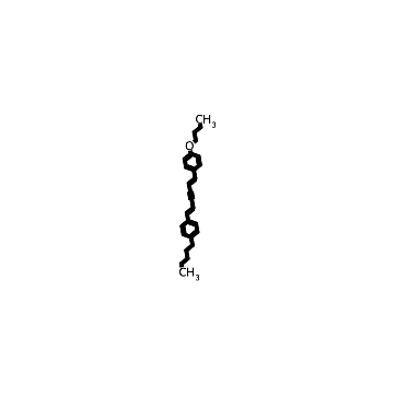 CCCCCc1ccc(C=CC#CC=Cc2ccc(OCCCC)cc2)cc1